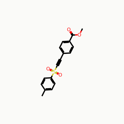 COC(=O)c1ccc(C#CS(=O)(=O)c2ccc(C)cc2)cc1